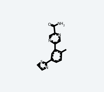 Cc1ccc(-c2nccs2)cc1-c1cnc(C(N)=O)cn1